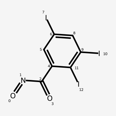 O=NC(=O)c1cc(I)cc(I)c1I